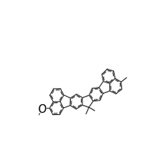 COc1ccc2c3c(cccc13)-c1cc3c(cc1-2)C(C)(C)c1cc2c(cc1-3)-c1cccc3c(C)ccc-2c13